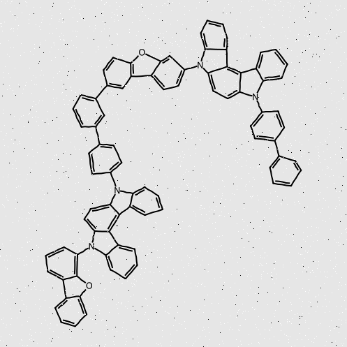 c1ccc(-c2ccc(-n3c4ccccc4c4c5c6ccccc6n(-c6ccc7c(c6)oc6ccc(-c8cccc(-c9ccc(-n%10c%11ccccc%11c%11c%12c%13ccccc%13n(-c%13cccc%14c%13oc%13ccccc%13%14)c%12ccc%11%10)cc9)c8)cc67)c5ccc43)cc2)cc1